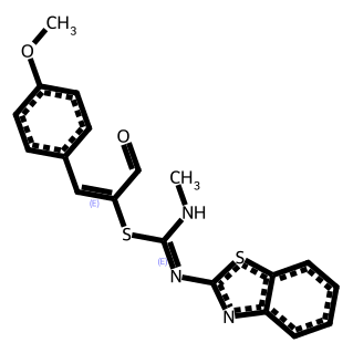 CN/C(=N\c1nc2ccccc2s1)S/C(C=O)=C/c1ccc(OC)cc1